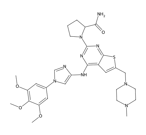 COc1cc(-n2cnc(Nc3nc(N4CCCC4C(N)=O)nc4sc(CN5CCN(C)CC5)cc34)c2)cc(OC)c1OC